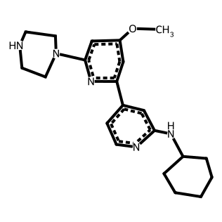 COc1cc(-c2ccnc(NC3CCCCC3)c2)nc(N2CCNCC2)c1